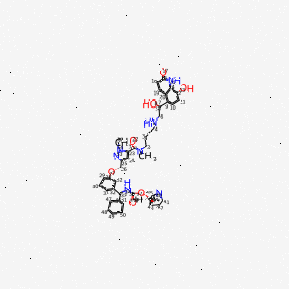 CN(CCCNC[C@@H](O)c1ccc(O)c2[nH]c(=O)ccc12)C(=O)c1cc(COc2cccc(C(NC(=O)O[C@H]3CN4CCC3CC4)c3ccccc3)c2)nn1C